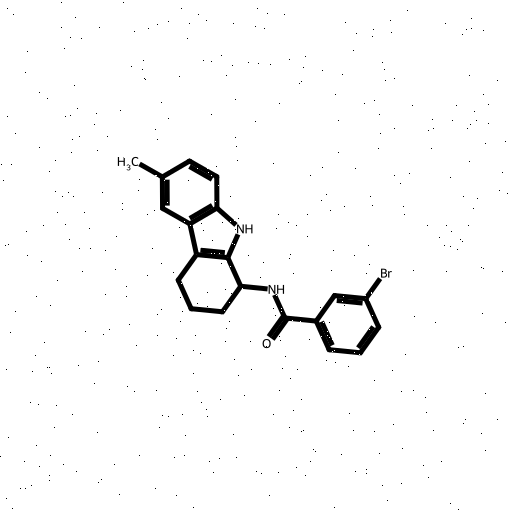 Cc1ccc2[nH]c3c(c2c1)CCCC3NC(=O)c1cccc(Br)c1